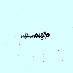 O=C(O)CCCCOc1cccc(CNC(=O)c2nc3ccccc3c(=O)[nH]2)c1